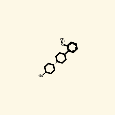 CCCC[C@H]1CC[C@H](C2CCC(c3ccccc3OC(F)(F)F)CC2)CC1